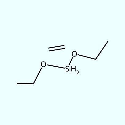 C=C.CCO[SiH2]OCC